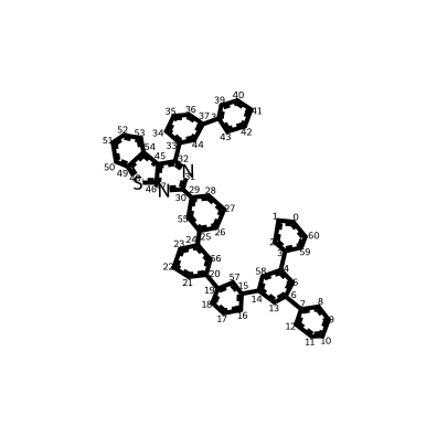 c1ccc(-c2cc(-c3ccccc3)cc(-c3cccc(-c4cccc(-c5cccc(-c6nc(-c7cccc(-c8ccccc8)c7)c7c(n6)sc6ccccc67)c5)c4)c3)c2)cc1